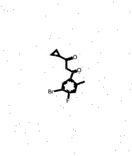 Cc1cc(F)c(Br)cc1C(=O)CC(=O)C1CC1